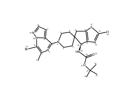 Cc1nc(N2CCC3(CC2)Cc2sc(Cl)nc2[C@H]3NC(=O)OC(C)(C)C)c2ccnn2c1Br